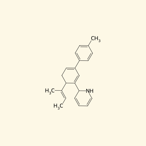 CC=C(C)C1CC=C(c2ccc(C)cc2)C=C1C1C=CC=CN1